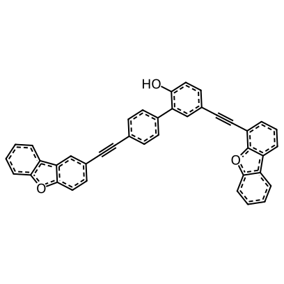 Oc1ccc(C#Cc2cccc3c2oc2ccccc23)cc1-c1ccc(C#Cc2ccc3oc4ccccc4c3c2)cc1